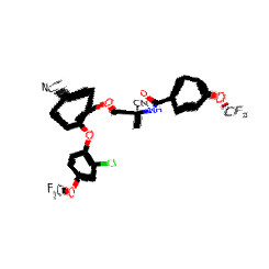 C[C@@](C#N)(COc1cc(C#N)ccc1Oc1ccc(OC(F)(F)F)cc1Cl)NC(=O)c1ccc(OC(F)(F)F)cc1